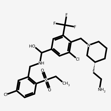 CCS(=O)(=O)c1ccc(Cl)cc1CNC(O)c1cc(Cl)c(CN2CCC[C@H](CCN)C2)c(C(F)(F)F)c1